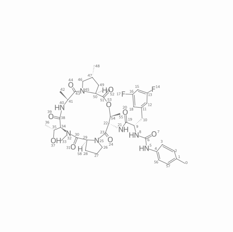 Cc1ccc(NC(=O)N[C@@H](Cc2cc(F)cc(F)c2)C(=O)N[C@@H]2C(=O)N3CCC[C@H]3C(=O)N(C)[C@@H]([C@@H](C)O)C(=O)N[C@@H](C)C(=O)N3C[C@H](C)C[C@H]3C(=O)O[C@H]2C)cc1